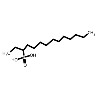 CCCCCCCCCCCC(CC)P(=O)(O)O